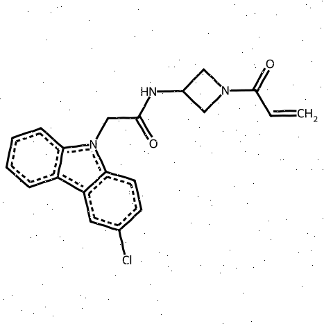 C=CC(=O)N1CC(NC(=O)Cn2c3ccccc3c3cc(Cl)ccc32)C1